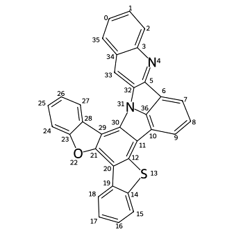 c1ccc2nc3c4cccc5c6c7sc8ccccc8c7c7oc8ccccc8c7c6n(c3cc2c1)c45